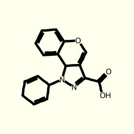 O=C(O)C1=NN(C2C=CCC=C2)C2C1=COc1ccccc12